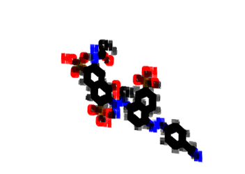 CC(=O)Nc1cc2c(O)c(NN(C)c3ccc(/N=N/c4ccc(C#N)cc4)c4ccc(S(=O)(=O)O)cc34)c(S(=O)(=O)O)cc2cc1S(=O)(=O)O